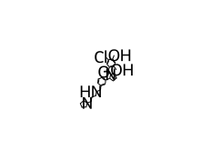 O=C(c1cc(Cl)c(O)cc1O)N1CCCC1c1cccc(CNCCCN2CCCC2)c1